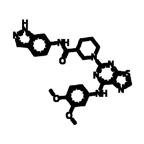 COc1ccc(Nc2nc(N3CCCC(C(=O)Nc4ccc5cn[nH]c5c4)C3)nc3scnc23)cc1OC